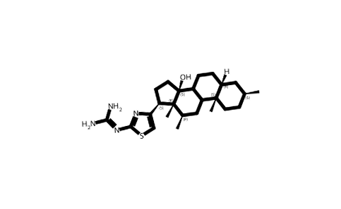 C[C@H]1CC[C@]2(C)C3C[C@@H](C)[C@]4(C)[C@@H](c5csc(N=C(N)N)n5)CC[C@]4(O)C3CC[C@@H]2C1